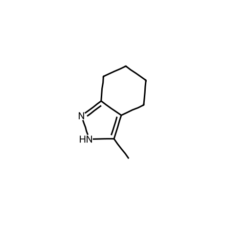 Cc1[nH]nc2c1CCCC2